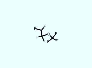 CC(F)(OC(F)(F)F)C(F)F